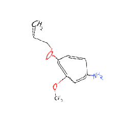 C=CCOc1ccc(N)cc1OC(F)(F)F